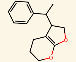 CC(c1ccccc1)C1COC2=C1CCCO2